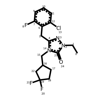 CCn1nc(Cc2c(F)cccc2Cl)n(CC2CCC(F)(F)C2)c1=O